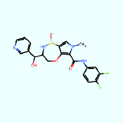 Cn1cc2c(c1C(=O)Nc1ccc(F)c(F)c1)OCC(C(O)c1cccnc1)N[S+]2[O-]